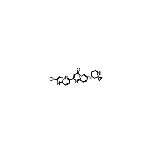 O=c1cc(-c2ccc3nc(Cl)cn3n2)nc2ccc([C@@H]3CCNC4(CC4)C3)cn12